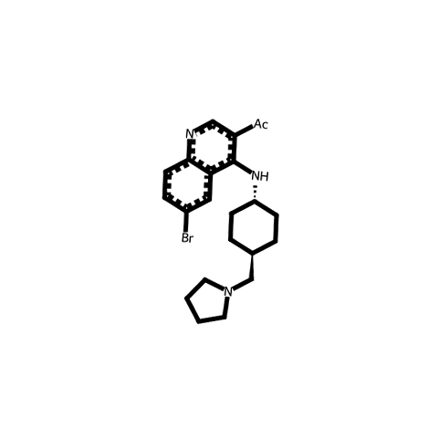 CC(=O)c1cnc2ccc(Br)cc2c1N[C@H]1CC[C@H](CN2CCCC2)CC1